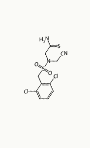 N#CCN(CC(N)=S)S(=O)(=O)Cc1c(Cl)cccc1Cl